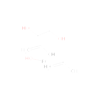 C=CC.C=CC.CCO.OCCO